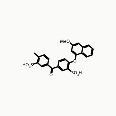 COc1cc(Oc2ccc(C(=O)c3ccc(C)c(S(=O)(=O)O)c3)cc2S(=O)(=O)O)c2ccccc2c1